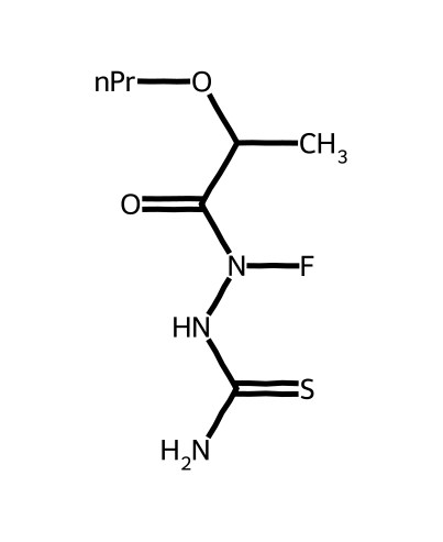 CCCOC(C)C(=O)N(F)NC(N)=S